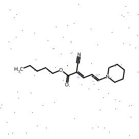 CCCCCOC(=O)/C(C#N)=C/C=C/N1CCCCC1